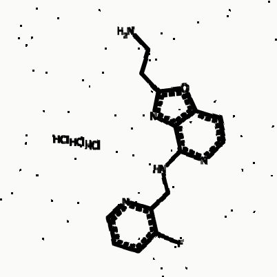 Cl.Cl.Cl.NCCc1nc2c(NCc3ncccc3F)nccc2o1